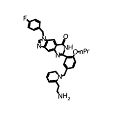 CCCOc1ccc(CN2CC=CC=C2CCN)cc1-c1nc2cc3ncn(Cc4ccc(F)cc4)c3cc2c(=O)[nH]1